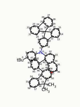 CC(C)(C)c1ccc(N(c2ccc3c(c2)-c2ccccc2C32c3ccccc3-c3ccccc32)c2ccc3ccccc3c2-c2ccccc2-c2cccc3c2-c2ccccc2C3(C)C)cc1